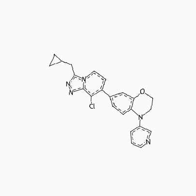 Clc1c(-c2ccc3c(c2)OCCN3c2cccnc2)ccn2c(CC3CC3)nnc12